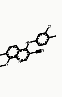 COc1ccc2c(Nc3ccc(C)c(Cl)c3)c(C#N)cnc2c1OC